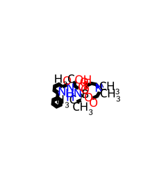 CC(C)C[C@H](NC(=O)[C@@H](NC(=O)c1cccc(-c2ccccc2)n1)C(C)O)B1OC(=O)CCN(C)[C@H](C)CC(=O)O1